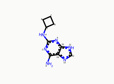 Nc1nc(NC2CCC2)nc2[nH]cnc12